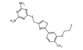 Cc1ccc(-c2nc(CSc3nc(N)nc(N)n3)cs2)cc1OCCF